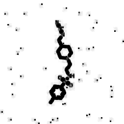 Cc1ccc(S(=O)(=O)NCCN2CCC(CN=[N+]=[N-])CC2)cc1